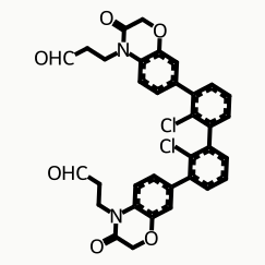 O=CCCN1C(=O)COc2cc(-c3cccc(-c4cccc(-c5ccc6c(c5)OCC(=O)N6CCC=O)c4Cl)c3Cl)ccc21